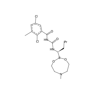 Cc1cc(Cl)cc(C(=O)NC(=O)N[C@@H](CC(C)C)B2OCCN(C)CCO2)c1Cl